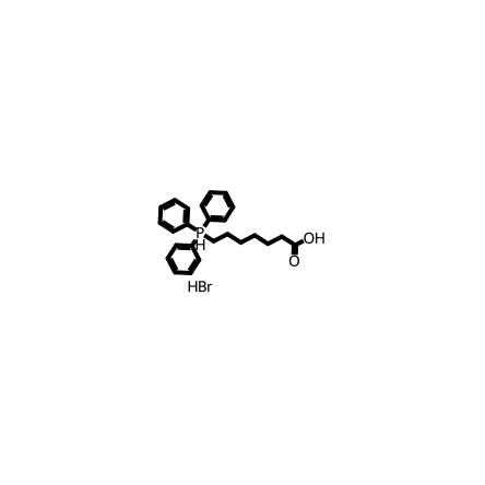 Br.O=C(O)CCCCCC[PH](c1ccccc1)(c1ccccc1)c1ccccc1